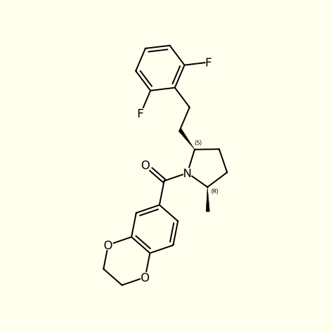 C[C@@H]1CC[C@H](CCc2c(F)cccc2F)N1C(=O)c1ccc2c(c1)OCCO2